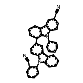 N#Cc1ccc2c(c1)c1cccc(-c3ccc4c(c3)c3ccccc3n4-c3ccccc3C#N)c1n2-c1ccccc1